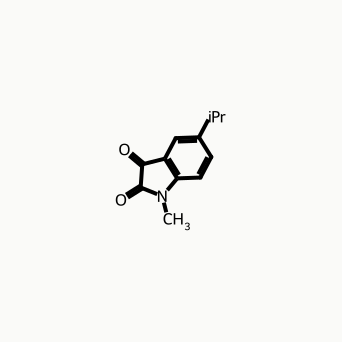 CC(C)c1ccc2c(c1)C(=O)C(=O)N2C